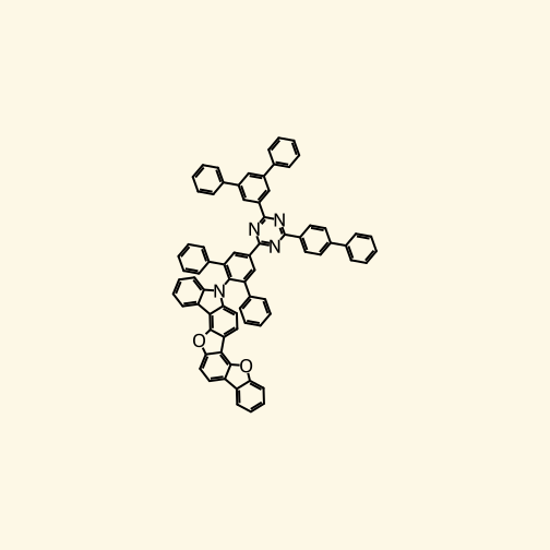 c1ccc(-c2ccc(-c3nc(-c4cc(-c5ccccc5)cc(-c5ccccc5)c4)nc(-c4cc(-c5ccccc5)c(-n5c6ccccc6c6c7oc8ccc9c%10ccccc%10oc9c8c7ccc65)c(-c5ccccc5)c4)n3)cc2)cc1